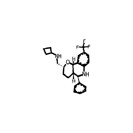 FC(F)(F)c1ccc2c(c1)[C@H]1O[C@@H](CNC3CCC3)CC[C@H]1[C@H](c1ccccc1)N2